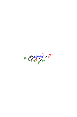 O=C(O)CCC(=O)n1nc(C(=O)Nc2ccc(F)cc2Cl)c(F)c1Cl